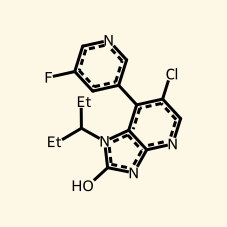 CCC(CC)n1c(O)nc2ncc(Cl)c(-c3cncc(F)c3)c21